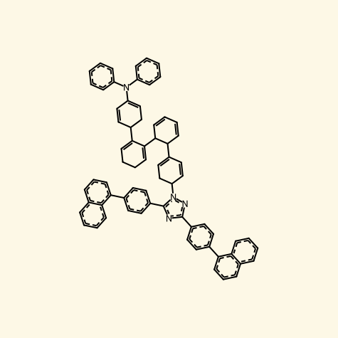 C1=CC(C2=CCC(n3nc(-c4ccc(-c5cccc6ccccc56)cc4)nc3-c3ccc(-c4cccc5ccccc45)cc3)C=C2)C(C2=CCCC=C2C2C=CC(N(c3ccccc3)c3ccccc3)=CC2)C=C1